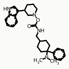 CN(C)C1(c2ccccc2)CCC(CNC(=O)ON2CCCC(c3c[nH]c4ccccc34)C2)CC1